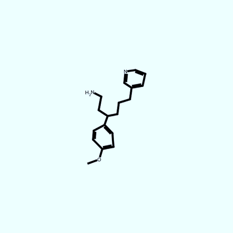 COc1ccc(C(CCN)CCCc2cccnc2)cc1